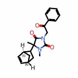 CN1C(=O)N(CC(=O)c2ccccc2)C(=O)C1(C)C1C[C@@H]2C=C[C@@H]1C2